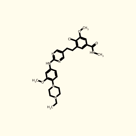 CCN1CCN(c2ccc(Nc3ncc(CCc4cc(C(=O)NC)cc(OC)c4Cl)cn3)cc2OC)CC1